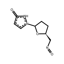 O=NC[C@@H]1CCC(n2ccc(=O)[nH]2)O1